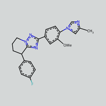 COc1cc(-c2nc3n(n2)CCCC3c2ccc(F)cc2)ccc1-n1cnc(C)c1